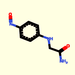 NC(=O)CNc1ccc(N=O)cc1